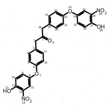 O=C(Cc1ccc(Oc2ccc(O)c([N+](=O)[O-])c2)cc1)Cc1ccc(Oc2ccc(O)c([N+](=O)[O-])c2)cc1